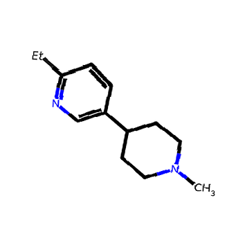 CCc1ccc(C2CCN(C)CC2)cn1